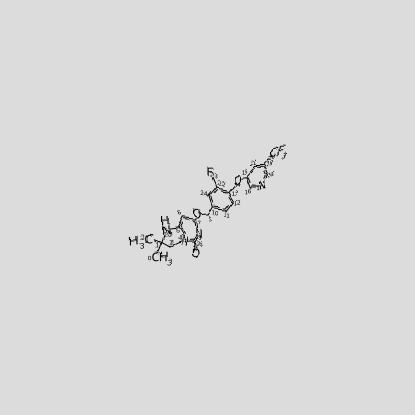 CC1(C)Cn2c(cc(OCc3ccc(Oc4cncc(C(F)(F)F)c4)c(F)c3)nc2=O)N1